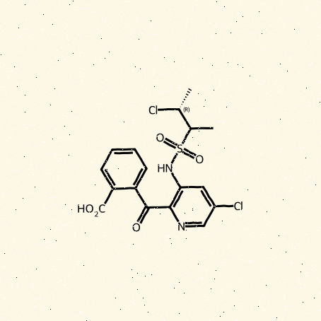 CC([C@@H](C)Cl)S(=O)(=O)Nc1cc(Cl)cnc1C(=O)c1ccccc1C(=O)O